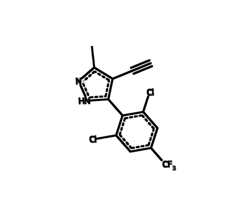 C#Cc1c(C)n[nH]c1-c1c(Cl)cc(C(F)(F)F)cc1Cl